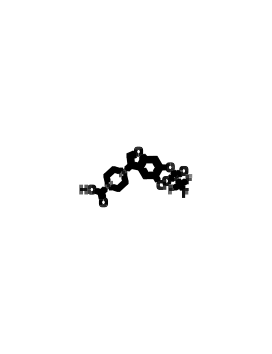 O=C(O)N1CCN(c2coc3cc(OS(=O)(=O)C(F)(F)F)c(Cl)cc23)CC1